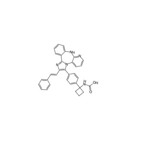 O=C(O)NC1(c2ccc(-c3c(C=Cc4ccccc4)nc4n3-c3cccnc3Nc3ccccc3-4)cc2)CCC1